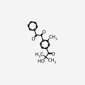 Cc1cc(C(=O)C(C)(C)O)ccc1C(=O)C(=O)c1ccccc1